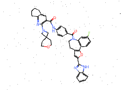 O=C(Nc1ccc(C(=O)N2CCc3cc(-c4nc5ccccc5[nH]4)oc3-c3ccc(F)cc32)cc1)c1cc2c(nc1N1CC3(CCOCC3)C1)CCCC2